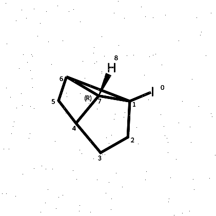 IC12CCC3CC1[C@@H]32